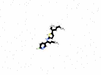 C=C/C=C(\N=C1/CC=C(/C(C=C)=C/C=C\C)S1)c1ccc(F)nc1